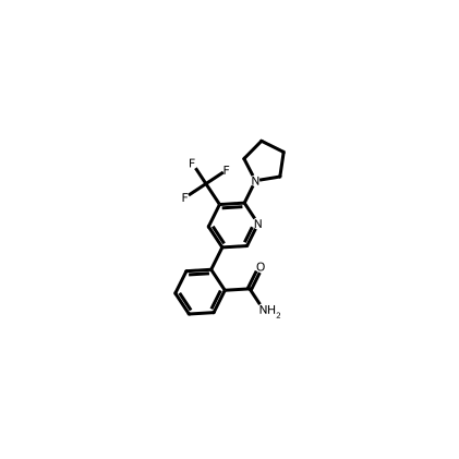 NC(=O)c1ccccc1-c1cnc(N2CCCC2)c(C(F)(F)F)c1